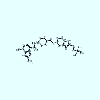 Cn1cc2c(C(=O)NN3CCC(CCN4CCc5sc(OCC(F)(F)F)nc5C4)CC3)ccc(F)c2n1